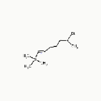 CCB(C)CCC/C=C/[Si](C)(C)C